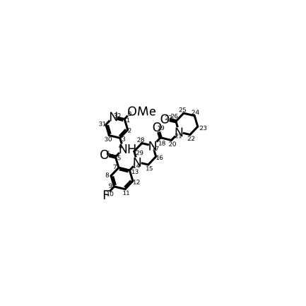 COc1cc(NC(=O)c2cc(F)ccc2N2CCN(C(=O)CN3CCCCC3=O)CC2)ccn1